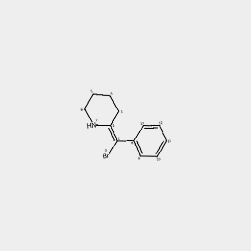 Br/C(=C1/CCCCN1)c1ccccc1